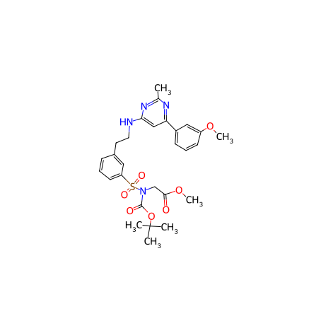 COC(=O)CN(C(=O)OC(C)(C)C)S(=O)(=O)c1cccc(CCNc2cc(-c3cccc(OC)c3)nc(C)n2)c1